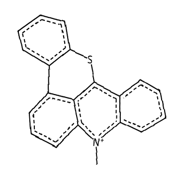 C[n+]1c2ccccc2c2c3c(cccc31)-c1ccccc1S2